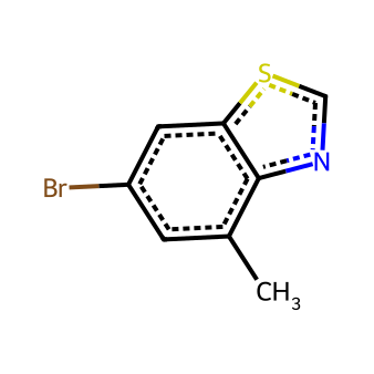 Cc1cc(Br)cc2scnc12